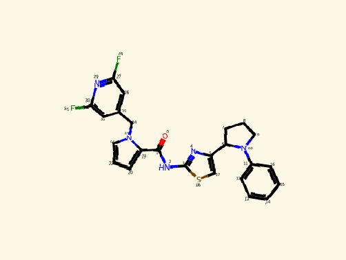 O=C(Nc1nc(C2CCCN2c2ccccc2)cs1)c1cccn1Cc1cc(F)nc(F)c1